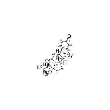 CC(=O)O[C@@]1(C(=O)C(Br)Br)CC[C@H]2[C@@H]3CCC4=CC(=O)C=C[C@]4(C)[C@H]3CC[C@@]21C